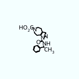 CC(NC(=O)n1ncc2c1CCN(C(=O)O)CC2)c1ccccc1